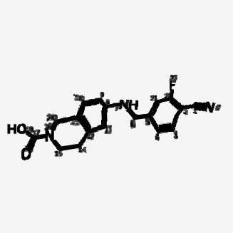 N#Cc1ccc(CNc2ccc3c(c2)CCN(C(=O)O)C3)cc1F